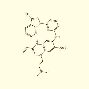 C=CC(=O)Nc1cc(Nc2nccc(-n3cc(Cl)c4ccccc43)n2)c(OC)cc1N(C)CCN(C)C